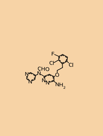 Nc1nnc(N(C=O)c2cncnc2)cc1OCCc1c(Cl)ccc(F)c1Cl